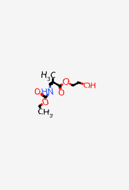 CCOC(=O)NC=C(C)C(=O)OCCO